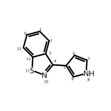 c1ccc2c(-c3cc[nH]c3)nsc2c1